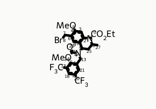 CCOC(=O)N1c2cc(OC)c(CBr)cc2C(N(Cc2cc(C(F)(F)F)cc(C(F)(F)F)c2)C(=O)OC)CC1C